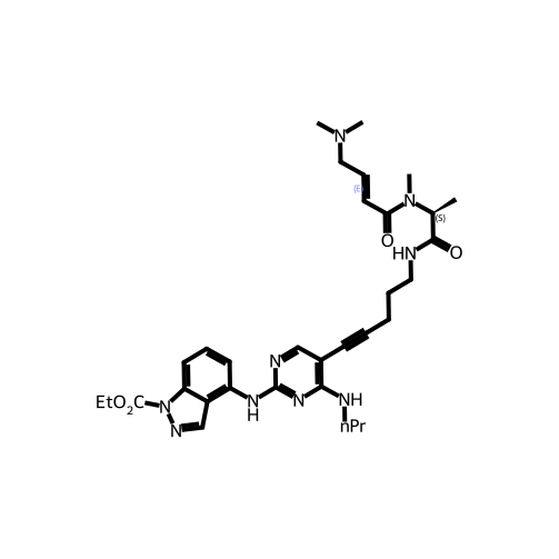 CCCNc1nc(Nc2cccc3c2cnn3C(=O)OCC)ncc1C#CCCCNC(=O)[C@H](C)N(C)C(=O)/C=C/CN(C)C